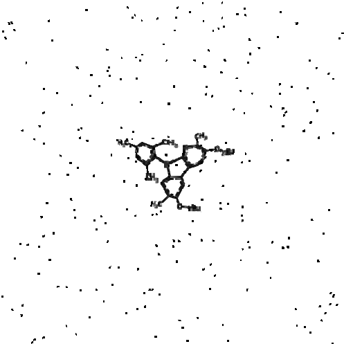 CCCCOc1cc2c(cc1C)B(c1c(C)cc(C)cc1C)c1cc(C)c(OCCCC)cc1-2